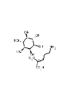 NCCC[C@H](N)C(=O)O.O[C@H]1[C@H](O)[C@@H](O)[C@H](O)[C@@H](O)[C@H]1O